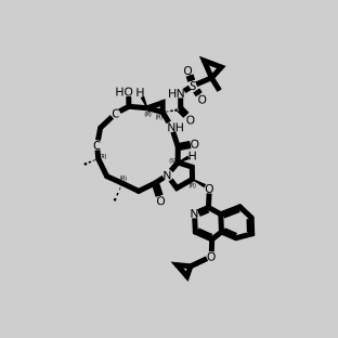 C[C@@H]1CCCC(O)[C@@H]2C[C@@]2(C(=O)NS(=O)(=O)C2(C)CC2)NC(=O)[C@@H]2C[C@@H](Oc3ncc(OC4CC4)c4ccccc34)CN2C(=O)C[C@H](C)C1